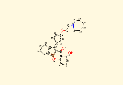 O=C(c1ccccc1O)c1c(-c2ccc(OCCN3CCCCCC3)cc2)c2ccccc2[s+]1[O-]